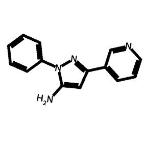 Nc1cc(-c2cccnc2)nn1-c1ccccc1